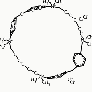 C[N+]1(C)CCCCCC[N+](C)(C)c2ccc(cc2)Cc2ccc(cc2)[N+](C)(C)CCCCCC[N+](C)(C)c2ccc(cc2)Cc2ccc1cc2.[Cl-].[Cl-].[Cl-].[Cl-]